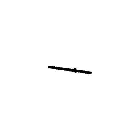 CCCCCCCCCCCCCCCCCCCCCCCCCCCCCCCC(=O)OCCCCCCCCCCCCCCCCCC